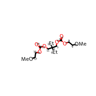 CCC(CC)(COC(=O)OCCOC)COC(=O)OCCOC